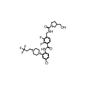 O=C(Nc1ccc(Cl)cc1N1CCN(CCC(F)(F)F)CC1)c1ccc(CNC(=O)N2CCC(CO)C2)c(F)c1F